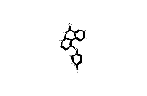 O=c1[nH]c2nccc(Oc3ccc(Br)cc3)c2c2ccccc12